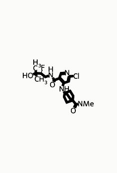 CNC(=O)C12CCC(Nc3cc(Cl)ncc3C(=O)NC[C@@H](F)C(C)(C)O)(CC1)CC2